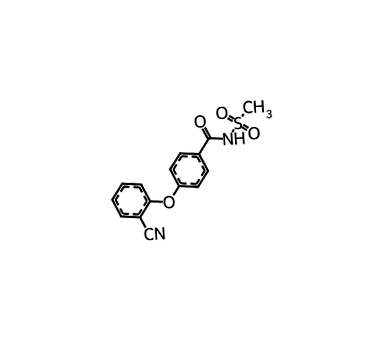 CS(=O)(=O)NC(=O)c1ccc(Oc2ccccc2C#N)cc1